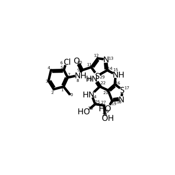 Cc1cccc(Cl)c1NC(=O)c1cnc(Nc2snc(O)c2C(=N)NC(O)CO)s1